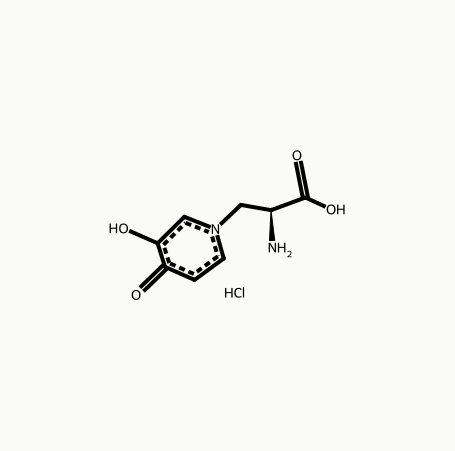 Cl.N[C@@H](Cn1ccc(=O)c(O)c1)C(=O)O